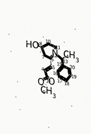 COC(=O)/C=C/[C@@H]1C[C@H](O)CCN1[C@H](C)c1ccccc1